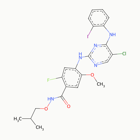 COc1cc(C(=O)NOCC(C)C)c(F)cc1Nc1ncc(Cl)c(Nc2ccccc2I)n1